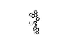 C=C/C(=C\N=C\c1ccnc2c1C=CC1C=CC=NC21)c1cccc(-c2nc3ccccc3c3c4c(ccc23)C=CCC4)c1